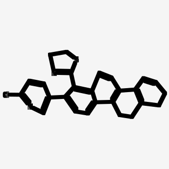 Clc1ccc(-c2ccc3c4c(ccc3c2C2=NCCS2)C2=C(CCC=C2)CC4)cn1